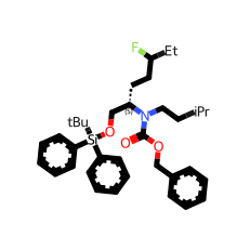 CCC(F)CC[C@@H](CO[Si](c1ccccc1)(c1ccccc1)C(C)(C)C)N(CCC(C)C)C(=O)OCc1ccccc1